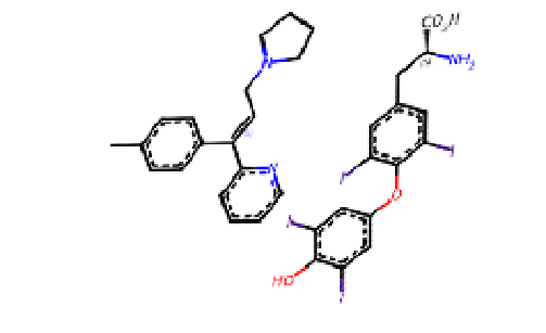 Cc1ccc(/C(=C\CN2CCCC2)c2ccccn2)cc1.N[C@@H](Cc1cc(I)c(Oc2cc(I)c(O)c(I)c2)c(I)c1)C(=O)O